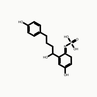 O=P(O)(O)N=C1CC=C(O)C=C1C(O)CCCc1ccc(O)cc1